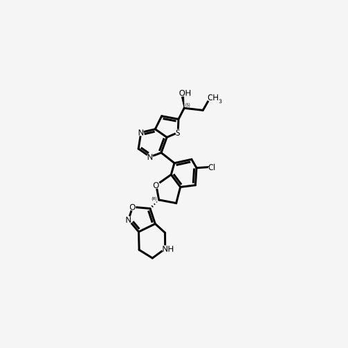 CC[C@H](O)c1cc2ncnc(-c3cc(Cl)cc4c3O[C@@H](c3onc5c3CNCC5)C4)c2s1